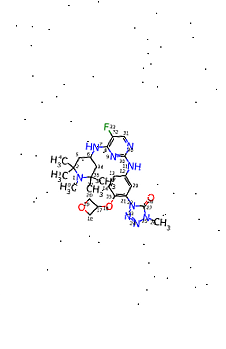 CN1C(C)(C)CC(Nc2nc(Nc3ccc(OC4COC4)c(-n4nnn(C)c4=O)c3)ncc2F)CC1(C)C